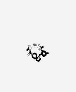 Cc1ccc(CN2CCCC23CCN(C(=O)OC(C)C(F)(F)F)CC3)c(N[C@@H](C)C(=O)O)c1